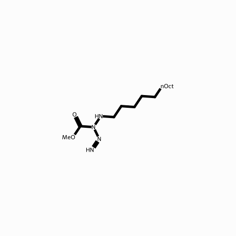 CCCCCCCCCCCCCNN(N=N)C(=O)OC